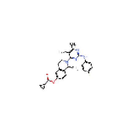 Cc1nc(Nc2ccc(F)cc2)nc(N2CCc3cc(OC(=O)C4CC4)ccc3C2C)c1C